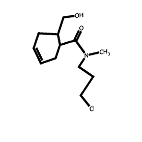 CN(CCCCl)C(=O)C1CC=CCC1CO